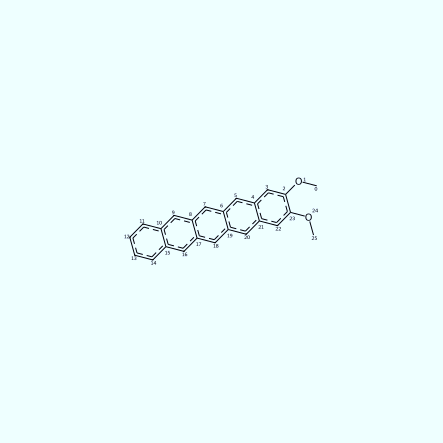 COc1cc2cc3cc4cc5ccccc5cc4cc3cc2cc1OC